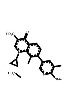 CNc1ncc(-c2ccc3c(=O)c(C(=O)O)cn(C4CC4)c3c2C)cc1C.CS(=O)(=O)O